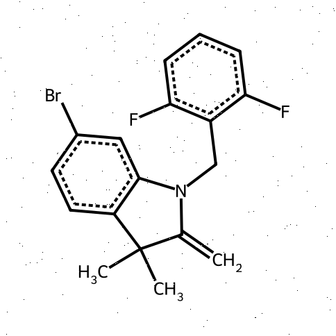 C=C1N(Cc2c(F)cccc2F)c2cc(Br)ccc2C1(C)C